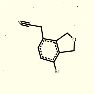 N#CCc1ccc(Br)c2c1COC2